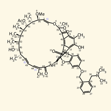 CO[C@H]1/C=C/O[C@@]2(C)Oc3c(C)c(O)c4c(=O)c(c5oc6cc(OCc7ccccc7CN(C)C)ccc6nc-5c4c3C2=O)NC(=O)/C(C)=C\C=C\[C@H](C)[C@H](O)[C@@H](C)[C@@H](C)[C@@H](C)[C@H](OC(C)=O)[C@@H]1C